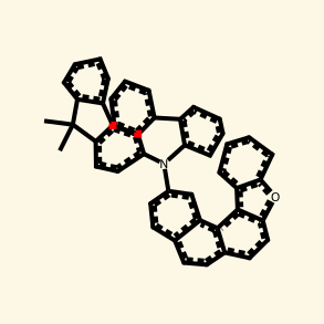 CC1(C)c2ccccc2-c2cc(N(c3ccc4ccc5ccc6oc7ccccc7c6c5c4c3)c3ccccc3-c3ccccc3)ccc21